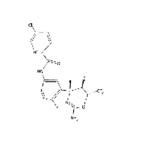 C[C@]1(c2cc(NC(=O)c3ccc(Cl)cn3)ccc2F)N=C(N)O[C@@H](C(F)(F)F)[C@@H]1F